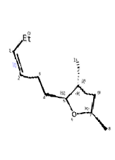 CC/C=C\CC[C@@H]1O[C@H](C)C[C@H]1C